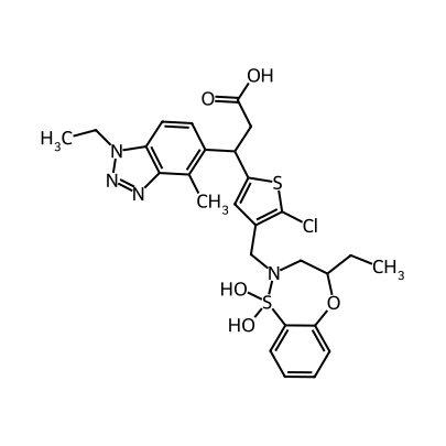 CCC1CN(Cc2cc(C(CC(=O)O)c3ccc4c(nnn4CC)c3C)sc2Cl)S(O)(O)c2ccccc2O1